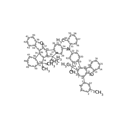 Cc1cccc(-c2cc3c(c4c2oc2ccccc24)-c2ccc(N(c4ccc5c(c4)C(C)(C)c4c6c(c7c(oc8ccccc87)c4-5)-c4ccccc4C6(C)C)c4ccccc4C)cc2C3(C)C)c1